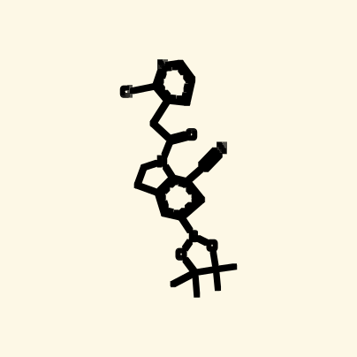 CC1(C)OB(c2cc(C#N)c3c(c2)CCN3C(=O)Cc2cccnc2Cl)OC1(C)C